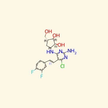 Nc1nc(Cl)c(/C=C/c2ccc(F)c(F)c2)c(N[C@@H]2C[C@H](CO)[C@@H](O)[C@H]2O)n1